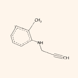 C#CCNc1ccc[c]c1C